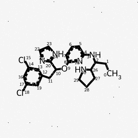 CCC(Nc1cccc(OC(Cc2cc(Cl)cc(Cl)c2)c2ncc[nH]2)n1)C1CCCN1